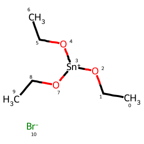 CC[O][Sn+]([O]CC)[O]CC.[Br-]